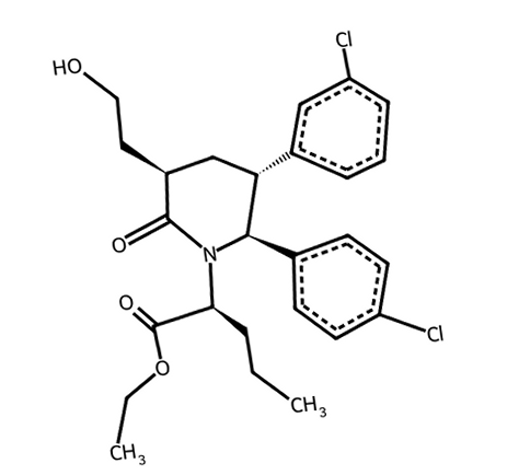 CCC[C@@H](C(=O)OCC)N1C(=O)[C@@H](CCO)C[C@H](c2cccc(Cl)c2)[C@H]1c1ccc(Cl)cc1